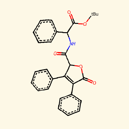 CC(C)(C)OC(=O)C(NC(=O)C1OC(=O)C(c2ccccc2)=C1c1ccccc1)c1ccccc1